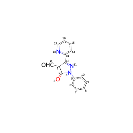 O=CC1C(=O)N(c2ccccc2)N=C1c1ccccn1